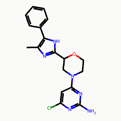 Cc1nc(C2CN(c3cc(Cl)nc(N)n3)CCO2)[nH]c1-c1ccccc1